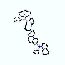 c1ccc(N(c2ccc3c(ccc4cc(-c5ccc(N(c6ccccc6)c6cccc7ccccc67)c6ccccc56)ccc43)c2)c2cccc3ccccc23)cc1